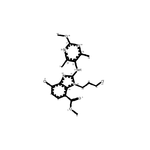 COC(=O)c1ccc(Cl)c2nc(Nc3c(C)nc(OC)nc3C)n(CCCCl)c12